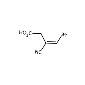 CC(C)C=C(C#N)CC(=O)O